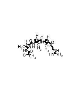 C=C(Br)C(=O)Nc1nc(C(=O)Nc2c[nH]c(C(=O)Nc3c[nH]c(C(=O)NCCNC(=N)N)c3C)c2C)[nH]c1C